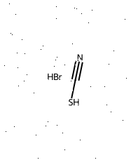 Br.N#CS